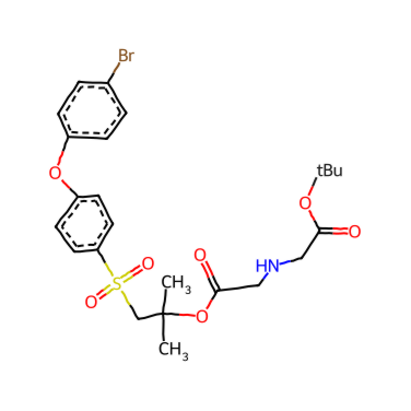 CC(C)(C)OC(=O)CNCC(=O)OC(C)(C)CS(=O)(=O)c1ccc(Oc2ccc(Br)cc2)cc1